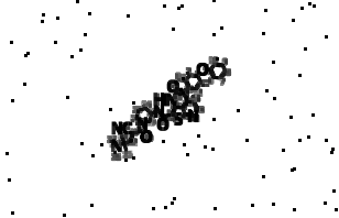 Cc1cc(Oc2ccccc2)ccc1N1C(=O)Nc2c(C(=O)NC3CCCN(C(=O)/C(C#N)=C/C(C)(C)N(C)C)C3)sc3nccc1c23